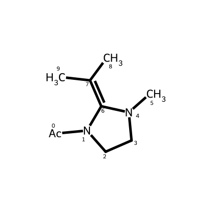 CC(=O)N1CCN(C)C1=C(C)C